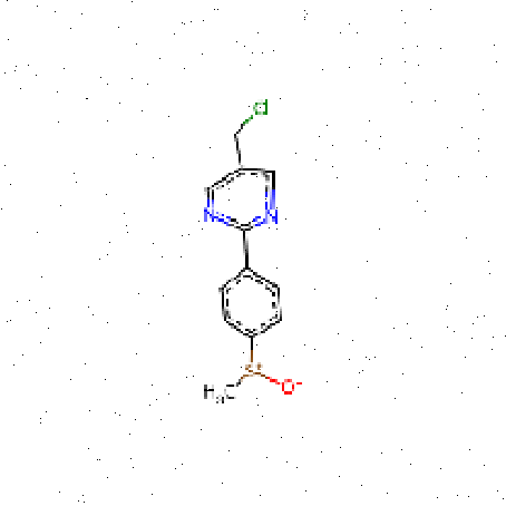 C[S+]([O-])c1ccc(-c2ncc(CCl)cn2)cc1